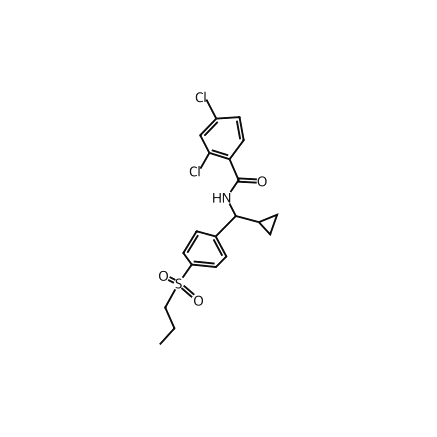 CCCS(=O)(=O)c1ccc(C(NC(=O)c2ccc(Cl)cc2Cl)C2CC2)cc1